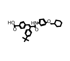 CC(C)(C)c1ccc(/C(=C\c2ccc(C(=O)O)cc2)C(=O)Nc2ccc(OCC3CCCCC3)cc2)cc1